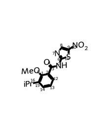 COc1c(C(=O)Nc2ncc([N+](=O)[O-])s2)cccc1C(C)C